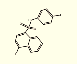 O=S(=O)(Nc1ccc(F)cc1)c1ccc(F)c2ccccc12